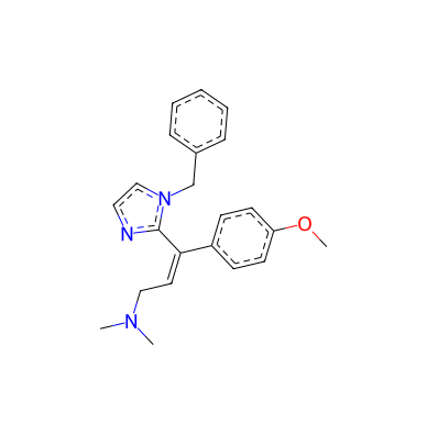 COc1ccc(/C(=C/CN(C)C)c2nccn2Cc2ccccc2)cc1